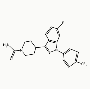 NC(=O)N1CCC(c2nn(-c3ccc(C(F)(F)F)cc3)c3cc(F)ccc23)CC1